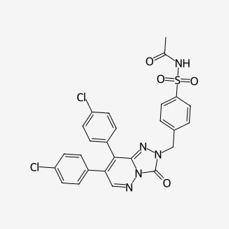 CC(=O)NS(=O)(=O)c1ccc(Cn2nc3c(-c4ccc(Cl)cc4)c(-c4ccc(Cl)cc4)cnn3c2=O)cc1